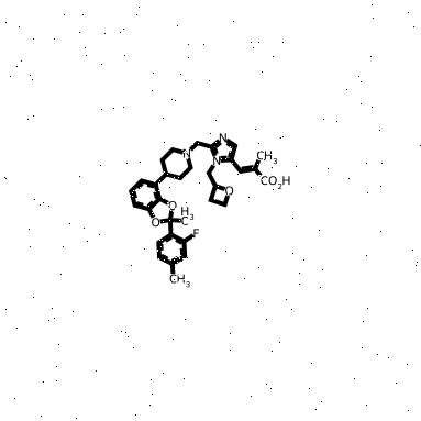 C/C(=C\c1cnc(CN2CCC(c3cccc4c3OC(C)(c3ccc(C)cc3F)O4)CC2)n1CC1CCO1)C(=O)O